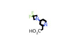 O=C(O)Cc1cc(N2CC(F)(F)C2)ccn1